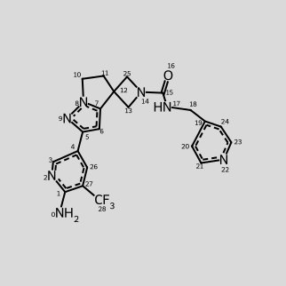 Nc1ncc(-c2cc3n(n2)CCC32CN(C(=O)NCc3ccncc3)C2)cc1C(F)(F)F